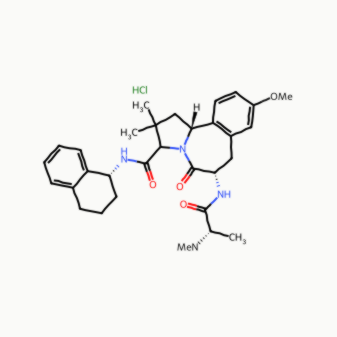 CN[C@@H](C)C(=O)N[C@H]1Cc2cc(OC)ccc2[C@H]2CC(C)(C)C(C(=O)N[C@@H]3CCCc4ccccc43)N2C1=O.Cl